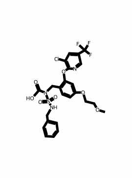 COCCOc1ccc(CN(C(=O)O)S(=O)(=O)NCc2ccccc2)c(Oc2ncc(C(F)(F)F)cc2Cl)c1